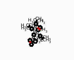 Cc1cc2c3c(c1)N(c1ccc(C(C)(C)C)cc1-c1ccccc1)c1cc(C(C)(C)C)ccc1B3c1ccc(N3c4ccccc4C4(c5ccccc5)CCCCC34C)cc1N2c1ccc(C(C)(C)C)cc1